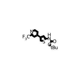 CC(C)(C)OC(=O)Nc1cc(-c2ccnc(C(F)(F)F)c2)cs1